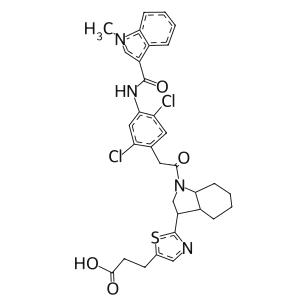 Cn1cc(C(=O)Nc2cc(Cl)c(CC(=O)N3CC(c4ncc(CCC(=O)O)s4)C4CCCCC43)cc2Cl)c2ccccc21